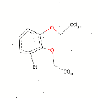 CCc1cccc(OCC(Cl)(Cl)Cl)c1OCC(Cl)(Cl)Cl